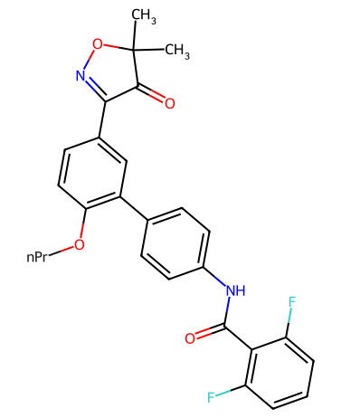 CCCOc1ccc(C2=NOC(C)(C)C2=O)cc1-c1ccc(NC(=O)c2c(F)cccc2F)cc1